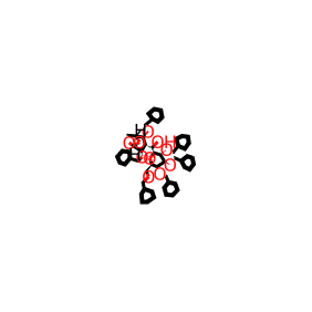 OC([C@@H]1[C@H](OCc2ccccc2)[C@@H]2OC[C@@H](O2)[C@H]1OCc1ccccc1)[C@H]1O[C@H](COCc2ccccc2)[C@@H](OCc2ccccc2)[C@@H](OCc2ccccc2)[C@H]1OCc1ccccc1